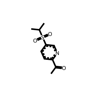 CC(=O)c1ccc(S(=O)(=O)C(C)C)cn1